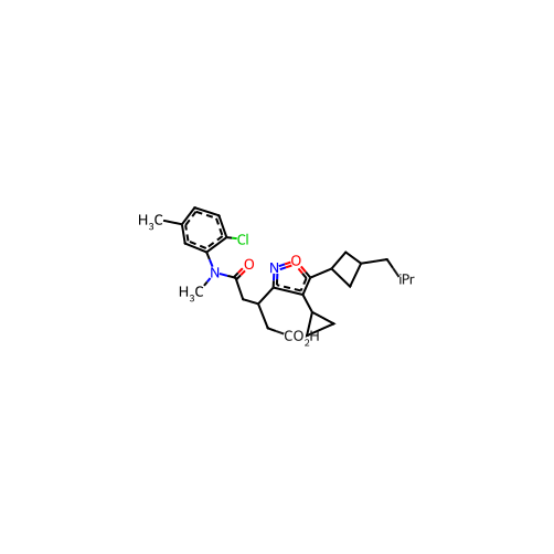 Cc1ccc(Cl)c(N(C)C(=O)CC(CC(=O)O)c2noc(C3CC(CC(C)C)C3)c2C2CC2)c1